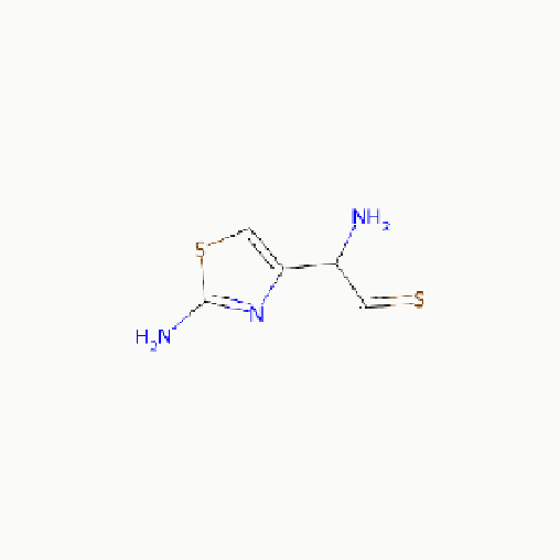 Nc1nc(C(N)[C]=S)cs1